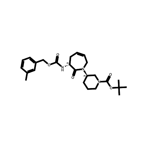 Cc1cccc(COC(=O)N[C@@H]2CC=CCN([C@@H]3CCCN(C(=O)OC(C)(C)C)C3)C2=O)c1